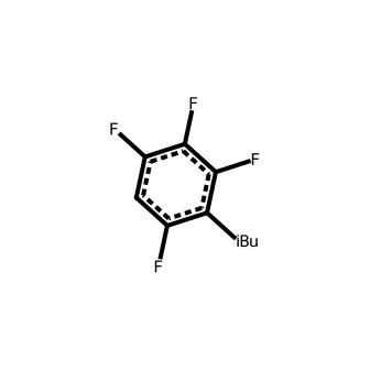 CCC(C)c1c(F)cc(F)c(F)c1F